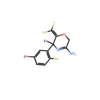 CCC1(c2cc(Br)ccc2F)N=C(N)COC1=C(F)F